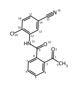 CC(=O)c1ccccc1C(=O)Nc1cc(C#N)ccc1Cl